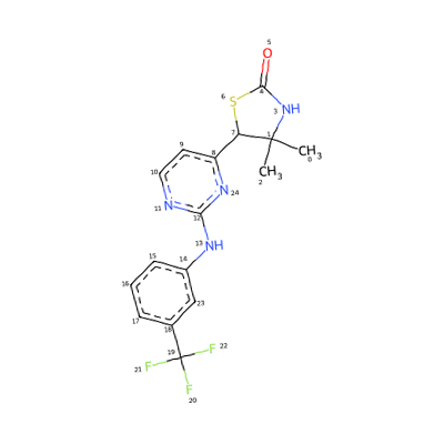 CC1(C)NC(=O)SC1c1ccnc(Nc2cccc(C(F)(F)F)c2)n1